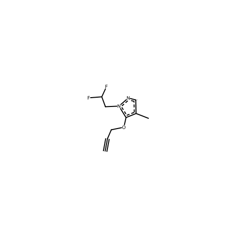 C#CCOc1c(C)[c]nn1CC(F)F